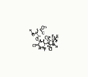 COC(=O)/C=C(\COc1cc(-c2c(Cl)c(C(F)(F)F)n(C)c2Cl)c(F)cc1Cl)OC